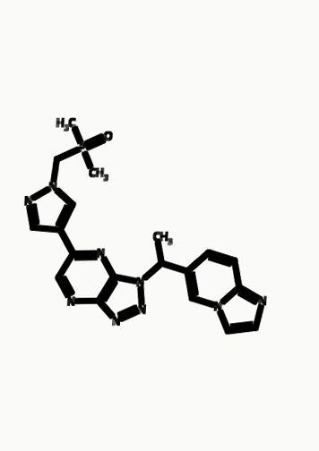 CC(c1ccc2nccn2c1)n1nnc2ncc(-c3cnn(CP(C)(C)=O)c3)nc21